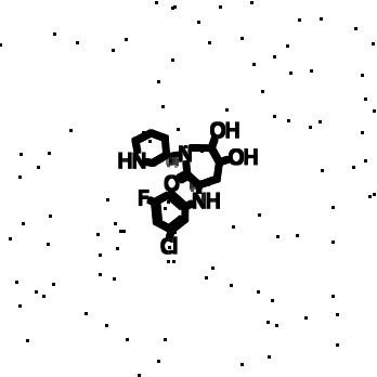 O=C1[C@H](Nc2cc(F)cc(Cl)c2)CC(O)C(O)CN1[C@@H]1CCCNC1